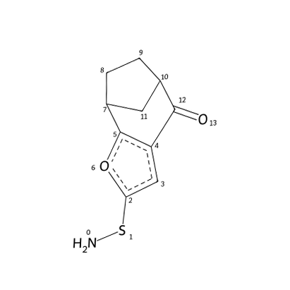 NSc1cc2c(o1)C1CCC(C1)C2=O